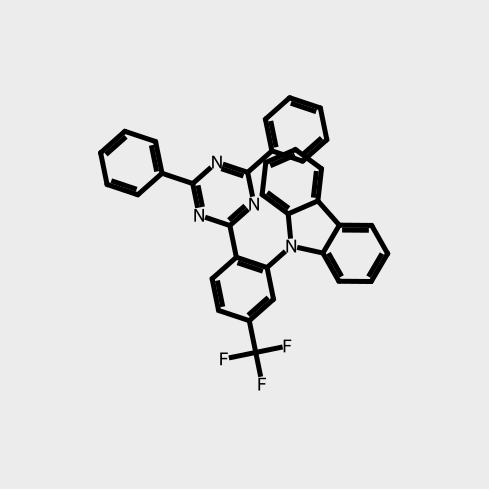 FC(F)(F)c1ccc(-c2nc(-c3ccccc3)nc(-c3ccccc3)n2)c(-n2c3ccccc3c3ccccc32)c1